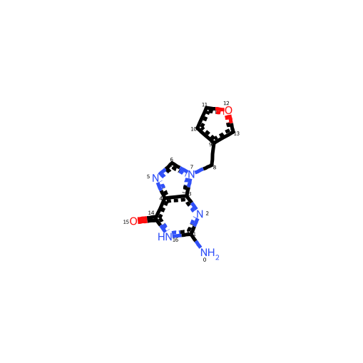 Nc1nc2c(ncn2Cc2ccoc2)c(=O)[nH]1